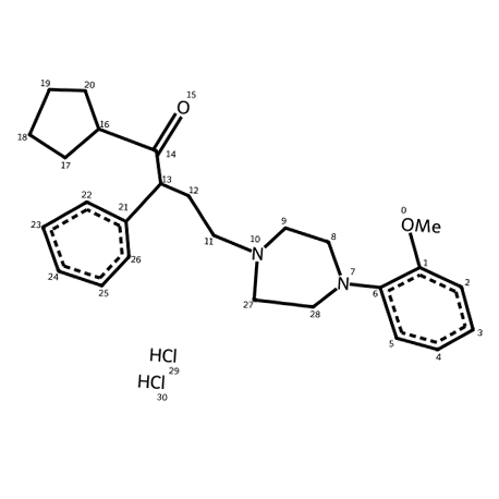 COc1ccccc1N1CCN(CCC(C(=O)C2CCCC2)c2ccccc2)CC1.Cl.Cl